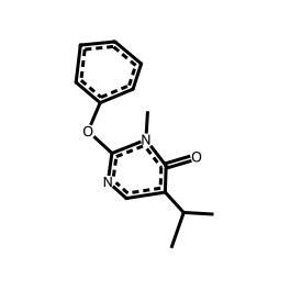 CC(C)c1cnc(Oc2ccccc2)n(C)c1=O